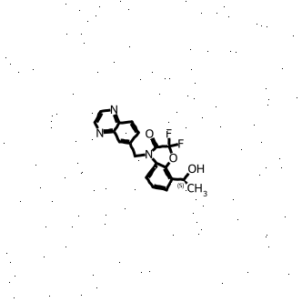 C[C@H](O)c1cccc2c1OC(F)(F)C(=O)N2Cc1ccc2nccnc2c1